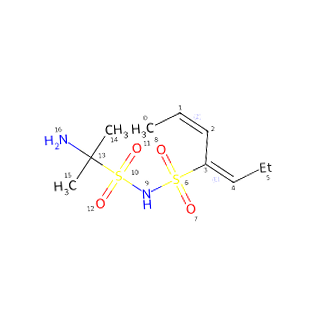 C/C=C\C(=C/CC)S(=O)(=O)NS(=O)(=O)C(C)(C)N